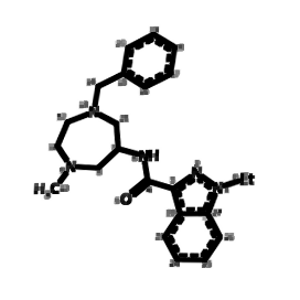 CCn1nc(C(=O)NC2CN(C)CCN(Cc3ccccc3)C2)c2ccccc21